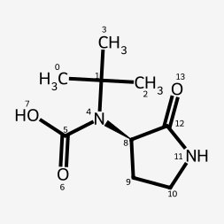 CC(C)(C)N(C(=O)O)[C@@H]1CCNC1=O